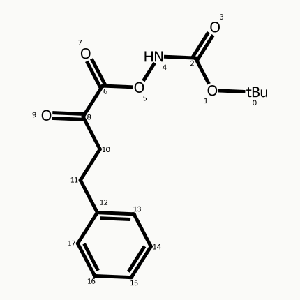 CC(C)(C)OC(=O)NOC(=O)C(=O)CCc1ccccc1